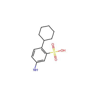 [NH]c1ccc(C2CCCCC2)c(S(=O)(=O)O)c1